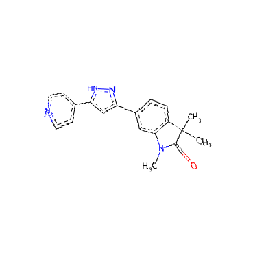 CN1C(=O)C(C)(C)c2ccc(-c3cc(-c4ccncc4)[nH]n3)cc21